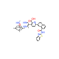 CNOC12CC3(C)CC(C)(CC(CN/C(C)=C(\C=N)c4ccc(-c5ccc6cccc(C(=O)Nc7nc8ccccc8s7)c6c5)nc4C(=O)O)(C3)C1)C2